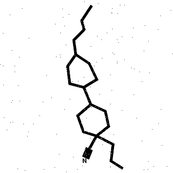 CCCCC1CCC(C2CCC(C#N)(CCC)CC2)CC1